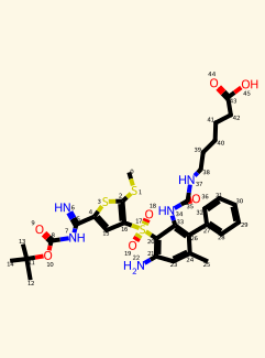 CSc1sc(C(=N)NC(=O)OC(C)(C)C)cc1S(=O)(=O)c1c(N)cc(C)c(-c2ccccc2)c1NC(=O)NCCCCCC(=O)O